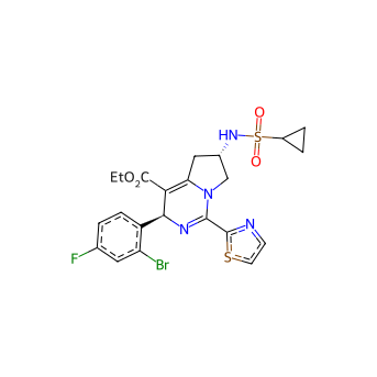 CCOC(=O)C1=C2C[C@H](NS(=O)(=O)C3CC3)CN2C(c2nccs2)=N[C@H]1c1ccc(F)cc1Br